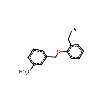 CC(C)Cc1ccccc1OCc1cccc(C(=O)O)c1